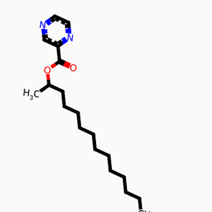 CCCCCCCCCCCCC(C)OC(=O)c1cnccn1